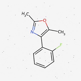 Cc1nc(-c2ccccc2F)c(C)o1